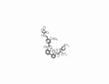 COc1cc(C(=O)Nc2cccc(-c3cccc(NC(=O)c4nc5c(n4C)CCN(C)C5)c3Cl)c2C)ncc1CN[C@@H]1CONC1=O